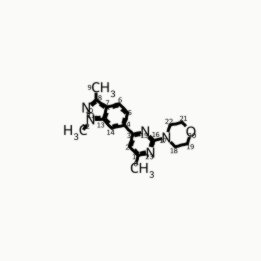 Cc1cc(-c2ccc3c(C)nn(C)c3c2)nc(N2CCOCC2)n1